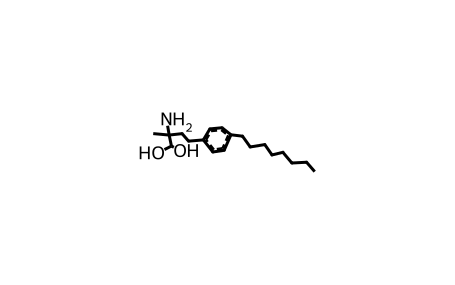 CCCCCCCCc1ccc(CCC(C)(N)C(O)O)cc1